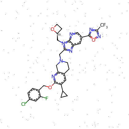 Fc1cc(Cl)ccc1COc1nc2c(cc1C1CC1)CCN(Cc1nc3cc(-c4nc(C(F)(F)F)no4)cnc3n1C[C@@H]1CCO1)C2